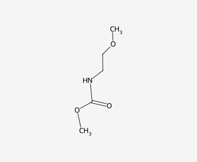 COCCNC(=O)OC